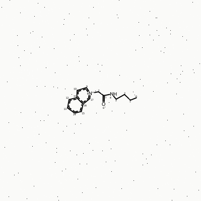 CCCCNC(=O)C[n+]1ccc2ccccc2c1